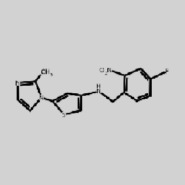 Cc1nccn1-c1cc(NCc2ccc(F)cc2[N+](=O)[O-])cs1